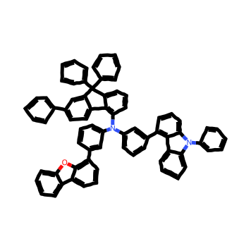 c1ccc(-c2ccc3c(c2)C(c2ccccc2)(c2ccccc2)c2cccc(N(c4cccc(-c5cccc6c5oc5ccccc56)c4)c4cccc(-c5cccc6c5c5ccccc5n6-c5ccccc5)c4)c2-3)cc1